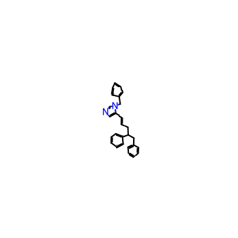 C(=Cc1cncn1Cc1ccccc1)CC(Cc1ccccc1)c1ccccc1